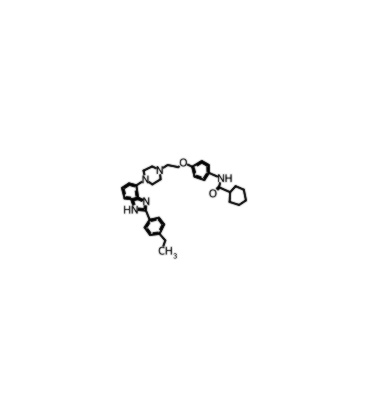 CCc1ccc(-c2nc3c(N4CCN(CCOc5ccc(NC(=O)C6CCCCC6)cc5)CC4)cccc3[nH]2)cc1